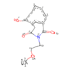 O=C1c2cccc(O)c2C(=O)N1CCO[N+](=O)[O-]